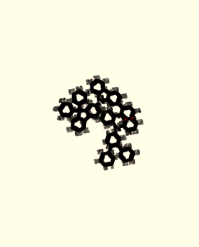 c1ccc(-c2ccc(N(c3ccccc3)c3ccccc3-c3ccccc3-c3ccc4c5ccccc5n(-c5ccc6c(c5)C(c5ccccc5)(c5ccccc5)c5ccccc5-6)c4c3)cc2-c2ccccc2)cc1